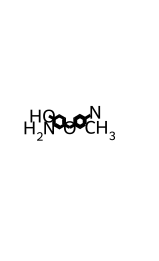 Cc1cc(OC2=CCC(O)C(N)=C2)ccc1C#N